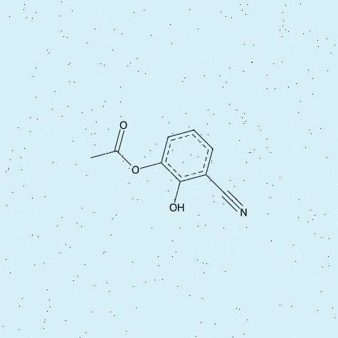 CC(=O)Oc1cccc(C#N)c1O